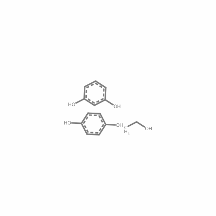 CCO.Oc1ccc(O)cc1.Oc1cccc(O)c1